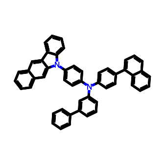 c1ccc(-c2cccc(N(c3ccc(-c4cccc5ccccc45)cc3)c3ccc(-n4c5ccccc5c5cc6ccccc6cc54)cc3)c2)cc1